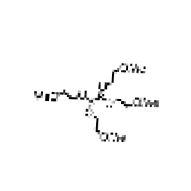 COCCOB(OCCOC)B(OCCOC)OCCOC